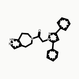 O=C(Cn1nc(-c2ccccc2)cc1-c1ccccc1)N1CCc2cn[nH]c2CC1